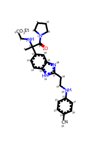 CCOC(=O)CNC(C)(C(=O)N1CCCC1)c1ccc2[nH]c(CCNc3ccc(C#N)cc3)nc2c1